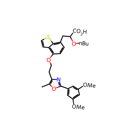 CCCCOC(Cc1ccc(OCCc2nc(-c3cc(OC)cc(OC)c3)oc2C)c2ccsc12)C(=O)O